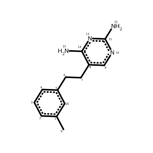 Cc1cccc(CCc2cnc(N)nc2N)c1